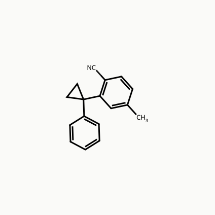 Cc1ccc(C#N)c(C2(c3ccccc3)CC2)c1